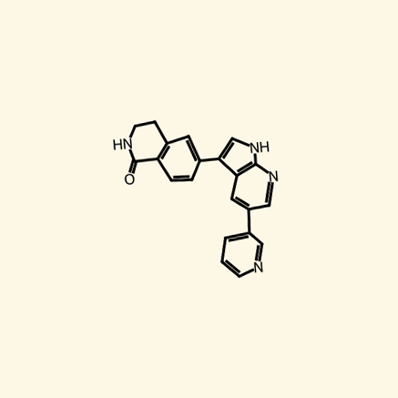 O=C1NCCc2cc(-c3c[nH]c4ncc(-c5cccnc5)cc34)ccc21